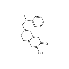 CC(CN1CCn2cc(O)c(=O)cc2C1)c1ccccc1